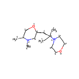 CC1COC(CC(C)(C)N2CCOCC2)CN1C(C)(C)C